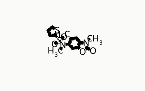 Cc1cc2c(cc1N(C)S(=O)(=O)c1cccs1)oc(=O)n2C